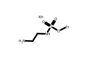 CCOS(=O)(=O)NCCN.[KH]